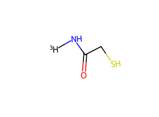 [3H]NC(=O)CS